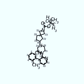 Cc1cccc(C)c1-c1cccnc1N1CCN(C2CCC3(C2)CN(C(=O)OC(C)(C)C)C3)CC1